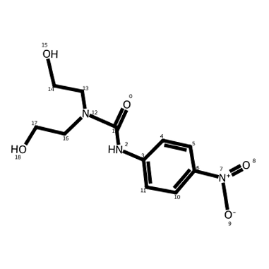 O=C(Nc1ccc([N+](=O)[O-])cc1)N(CCO)CCO